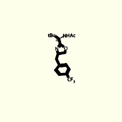 CC(=O)N[C@H](C1=NC(Cc2ccc(C(F)(F)F)cc2)CO1)C(C)(C)C